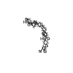 N#Cc1ccc(O[C@H]2CC[C@H](NC(=O)c3ccc(N4CCC(CN5CCC(n6ncc7c(N8CCC(=O)NC8=O)cccc76)CC5)CC4)nn3)CC2)cc1Cl